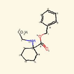 O=C(O)CNC1(C(=O)OCc2ccccc2)CCCCC1